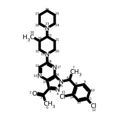 CC(=O)c1nn(C(C)c2ccc(Cl)cc2Cl)c2nc(N3CCC(N4CCCCC4)C(C)C3)cnc12